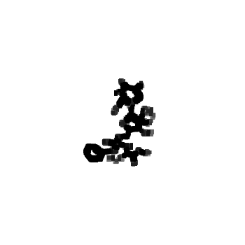 CC(C)OC(=O)[C@@H](C)NP(=O)(OC[C@H]1O[C@@H](n2cc(I)c(=O)[nH]c2=O)[C@](C)(F)[C@@H]1O)Oc1ccccc1